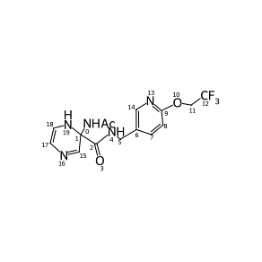 CC(=O)NC1(C(=O)NCc2ccc(OCC(F)(F)F)nc2)C=NC=CN1